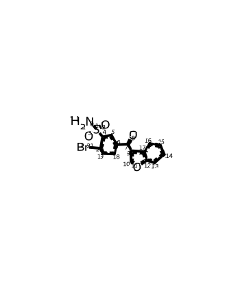 NS(=O)(=O)c1cc(C(=O)c2coc3ccccc23)ccc1Br